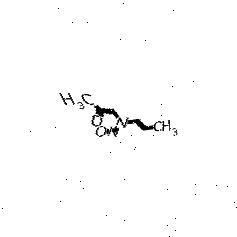 CCCN(CC(C)=O)N=O